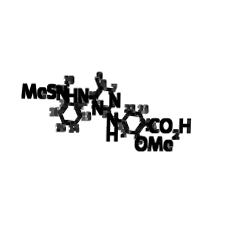 COc1cc(Nc2ncc(C)c(Nc3ccccc3N(C)SC)n2)ccc1C(=O)O